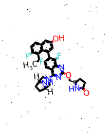 CCc1c(F)ccc2cc(O)cc(-c3c(F)cc4c(N5C[C@H]6CC[C@@H](C5)N6)nc(OC[C@H]5CCC(=O)N5)nc4c3F)c12